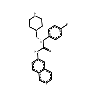 O=C(Nc1ccc2cnccc2c1)[C@H](CN1CCNCC1)c1ccc(F)cc1